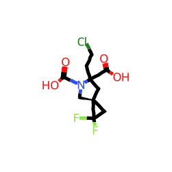 O=C(O)N1C[C@@]2(CC1(CCCl)C(=O)O)CC2(F)F